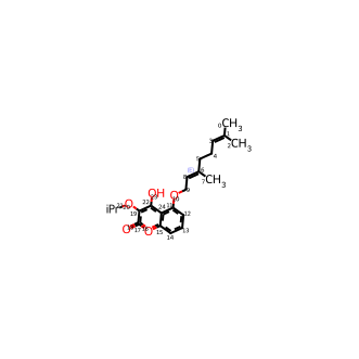 CC(C)=CCC/C(C)=C/COc1cccc2oc(=O)c(OC(C)C)c(O)c12